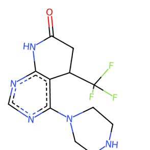 O=C1CC(C(F)(F)F)c2c(ncnc2N2CCNCC2)N1